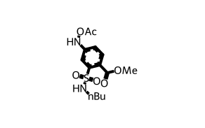 CCCCNS(=O)(=O)c1cc(NOC(C)=O)ccc1C(=O)OC